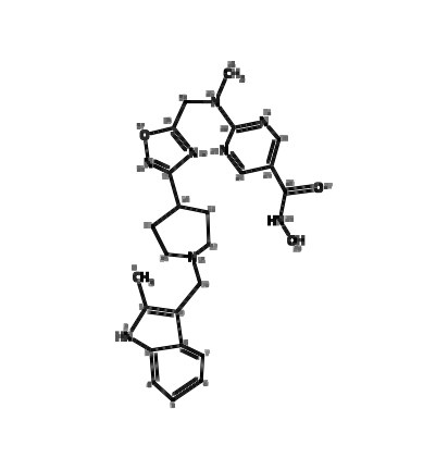 Cc1[nH]c2ccccc2c1CN1CCC(c2noc(CN(C)c3ncc(C(=O)NO)cn3)n2)CC1